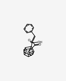 O=C(O)[C]12[CH]3[CH]4[CH]5[CH]1[Fe]45321678[CH]2[CH]1[CH]6[C]7(C(=O)C=Cc1ccccc1)[CH]28